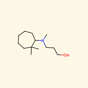 CN(CCCO)C1CCCCCC1(C)C